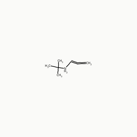 C=C=C[SiH2]C(C)(C)C